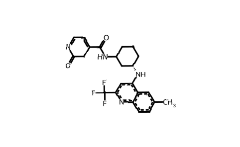 Cc1ccc2nc(C(F)(F)F)cc(N[C@H]3CCCC(NC(=O)C4=CC=NC(=O)C4)C3)c2c1